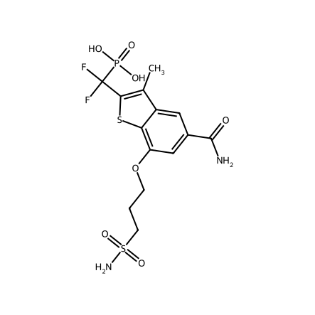 Cc1c(C(F)(F)P(=O)(O)O)sc2c(OCCCS(N)(=O)=O)cc(C(N)=O)cc12